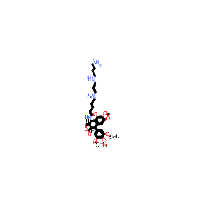 COc1cc(C2c3cc4c(cc3[C@@H](NC(=O)CCCCNCCCNCCCCN)[C@H]3COC(=O)[C@H]23)OCO4)cc(OC)c1O